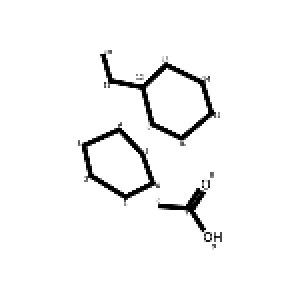 C1CCCCC1.CC(=O)O.CCC1CCCCC1